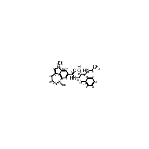 CCn1cc2c3c(cc(C(=O)N[C@@H](Cc4ccccc4)[C@H](O)CNCC(F)(F)F)cc31)N(C)SCC2